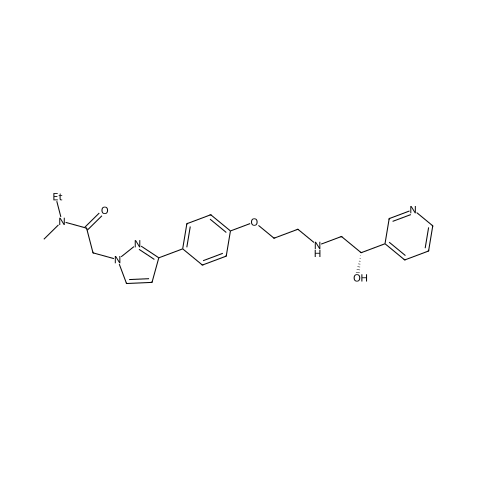 CCN(C)C(=O)Cn1ccc(-c2ccc(OCCNC[C@@H](O)c3cccnc3)cc2)n1